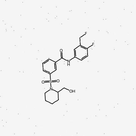 O=C(Nc1ccc(F)c(CF)c1)c1cccc(S(=O)(=O)N2CCCCC2CO)c1